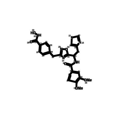 COc1ccc(C(=O)NC(Cc2cscn2)c2nc(Cc3ccc(C(=O)NO)cc3)no2)cc1OC